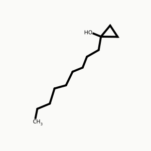 CCCCCCCCCC1(O)CC1